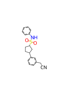 N#CCc1cccc(C2CCC(S(=O)(=O)Nc3ccccc3)C2)c1